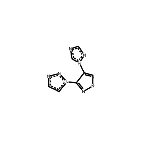 C1=C(n2cncn2)C(n2ccnn2)=N[N]1